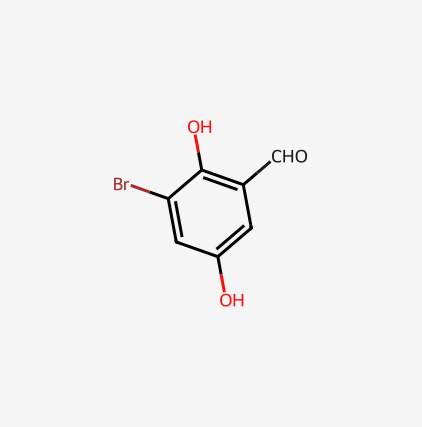 O=Cc1cc(O)cc(Br)c1O